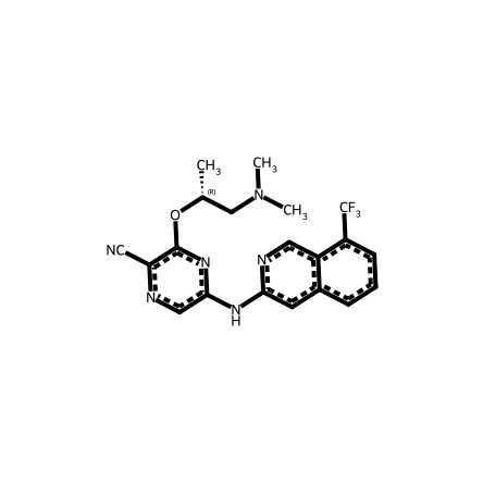 C[C@H](CN(C)C)Oc1nc(Nc2cc3cccc(C(F)(F)F)c3cn2)cnc1C#N